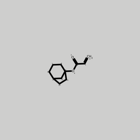 C=CC(=O)OC12CCCC(CC1)C2